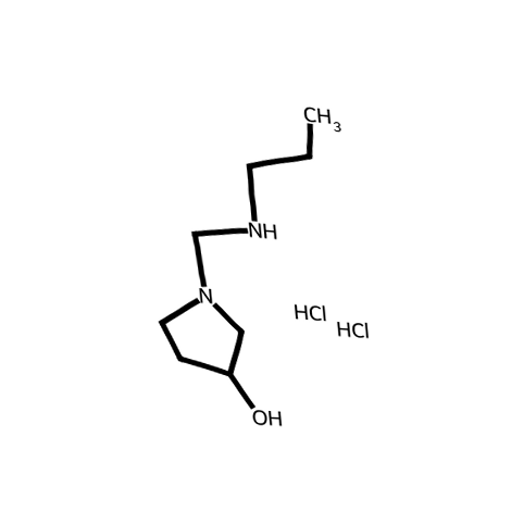 CCCNCN1CCC(O)C1.Cl.Cl